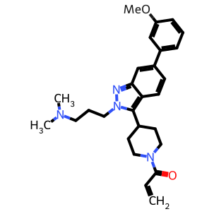 C=CC(=O)N1CCC(c2c3ccc(-c4cccc(OC)c4)cc3nn2CCCN(C)C)CC1